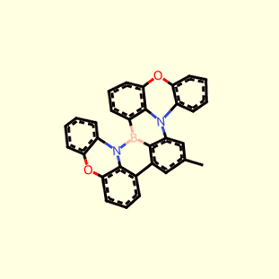 Cc1cc2c3c(c1)N1c4ccccc4Oc4cccc(c41)B3N1c3ccccc3Oc3cccc-2c31